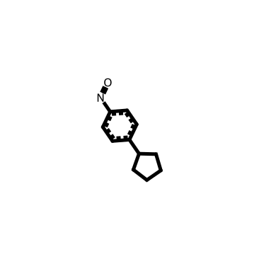 O=Nc1ccc(C2CCCC2)cc1